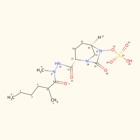 CCCCC(C)C(=O)N(C)NC(=O)[C@@H]1CC[C@@H]2CN1C(=O)N2OS(=O)(=O)O